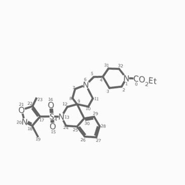 CCOC(=O)N1CCC(CN2CCC3(CC2)CN(S(=O)(=O)c2c(C)noc2C)Cc2ccccc23)CC1